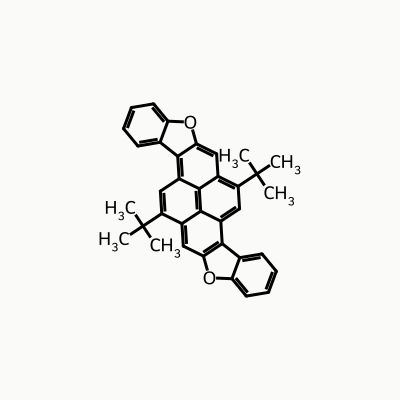 CC(C)(C)c1cc2c3c(cc4c(C(C)(C)C)cc5c6c(cc1c5c42)oc1ccccc16)oc1ccccc13